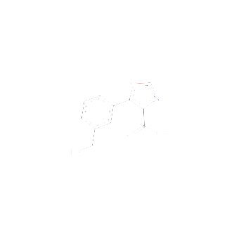 O=C(O)c1ncoc1-c1cccc(CO)c1